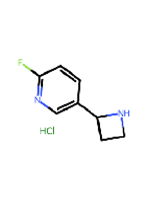 Cl.Fc1ccc(C2CCN2)cn1